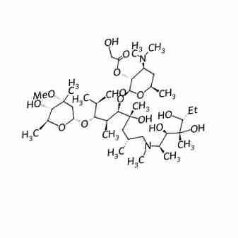 CC[C@@H](O)[C@](C)(O)[C@H](O)[C@@H](C)N(C)C[C@H](C)C[C@@](C)(O)[C@H](O[C@@H]1O[C@H](C)C[C@H](N(C)C)[C@H]1OC(=O)CO)[C@@H](C)[C@H](O[C@H]1C[C@@](C)(OC)[C@@H](O)[C@H](C)O1)[C@@H](C)C=O